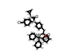 COC(=O)C(Cc1ccc(-n2c(=O)n(C3CC3)c3cc(Cl)ccc32)cc1)NC(c1ccccc1)(c1ccccc1)c1ccccc1